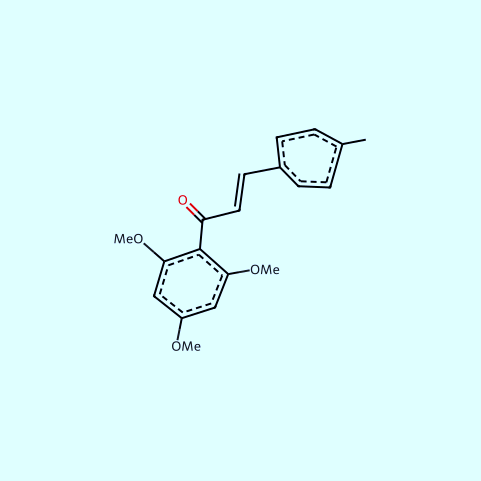 COc1cc(OC)c(C(=O)C=Cc2ccc(C)cc2)c(OC)c1